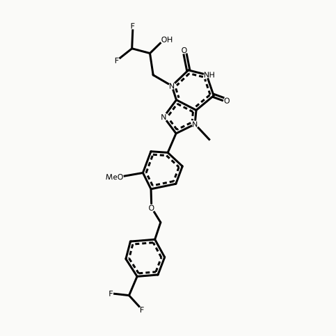 COc1cc(-c2nc3c(c(=O)[nH]c(=O)n3CC(O)C(F)F)n2C)ccc1OCc1ccc(C(F)F)cc1